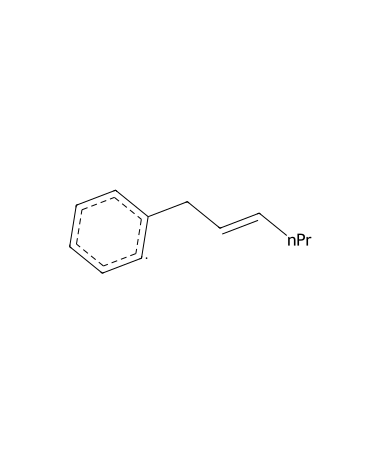 CCC/C=C/Cc1[c]cccc1